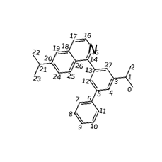 CC(C)c1cc(-c2ccccc2)cc(-c2nccc3cc(C(C)C)ccc23)c1